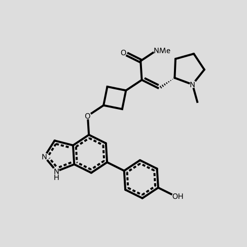 CNC(=O)C(=C[C@@H]1CCCN1C)C1CC(Oc2cc(-c3ccc(O)cc3)cc3[nH]ncc23)C1